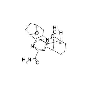 COC1(c2ccnc(C(N)=O)c2)C2CCC[C@@H]1CN(C1CC3CCC(C1)O3)C2